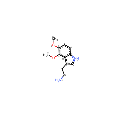 COc1ccc2[nH]cc(CCN)c2c1OC